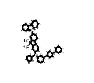 CC1(C)c2cc(N(c3ccccc3)c3cccc(-c4ccc(-c5ccccc5)cc4)c3)ccc2-c2ccc(-n3c4ccccc4c4ccccc43)cc21